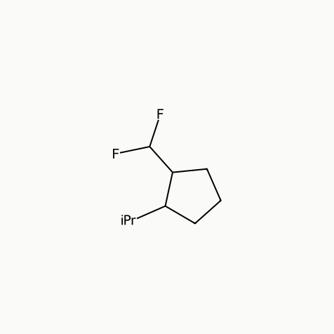 CC(C)C1CCCC1C(F)F